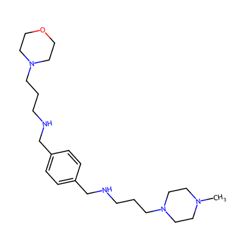 CN1CCN(CCCNCc2ccc(CNCCCN3CCOCC3)cc2)CC1